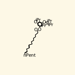 CCCCCC=CCC=CCCCCCCCC(=O)Oc1cc(OC(C)C)cc(O[Si](C(C)C)(C(C)C)C(C)C)c1